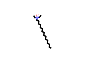 CCCCCCCCCCCCCCCC[N+]([O-])(CC)CC